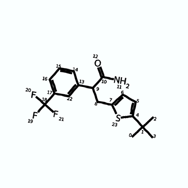 CC(C)(C)c1ccc(CC(C(N)=O)c2cccc(C(F)(F)F)c2)s1